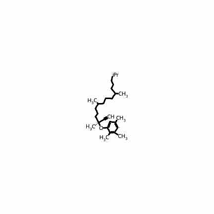 C#C[C@](C)(CCCC(C)CCCC(C)CCCC(C)C)Oc1cc(C)[c]c(C)c1C